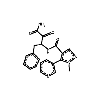 Cn1ncc(C(=O)N[C@@H](Cc2ccccc2)C(=O)C(N)=O)c1-c1cccnc1